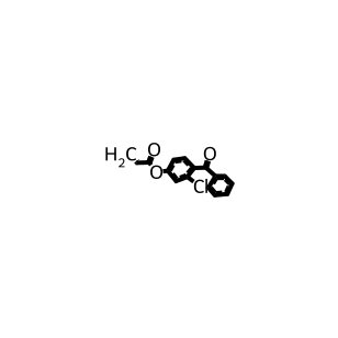 C=CC(=O)Oc1ccc(C(=O)c2ccccc2)c(Cl)c1